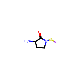 NC1CCN(SI)C1=O